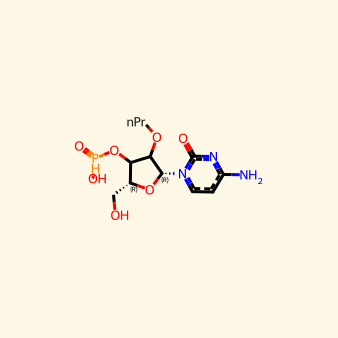 CCCOC1C(O[PH](=O)O)[C@@H](CO)O[C@H]1n1ccc(N)nc1=O